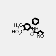 Cc1c[c]c(NC(=O)c2ccon2)cc1C(=O)O.[c]1ccccc1